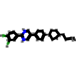 C=CC[C@H]1CC[C@H](c2ccc(-c3cnc(-c4ccc(F)c(F)c4)nc3)cc2)CC1